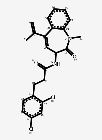 C=C(C)C1=CC(NC(=O)CCc2ccc(Cl)cc2Cl)C(=O)N(C)c2ccccc21